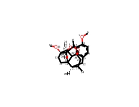 COc1ccc2c3c1O[C@H]1[C@@]4(OC)CCC5(C[C@@H]4C(C)=O)[C@@H](C2)C(C)CC[C@]315